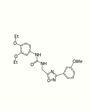 CCOc1ccc(NC(=O)NCc2nc(-c3cccc(OC)c3)no2)cc1OCC